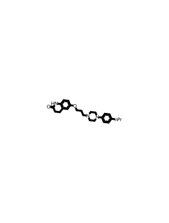 CCCc1ccc(N2CCN(CCCOc3ccc4c(c3)CCC(=O)N4)CC2)cc1